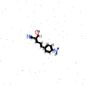 CN(C)c1ccc(C=CC=C(C#N)C=O)cc1